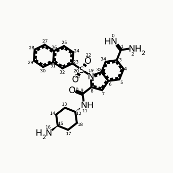 N=C(N)c1ccc2cc(C(=O)N[C@H]3CC[C@H](N)CC3)n(S(=O)(=O)c3ccc4ccccc4c3)c2c1